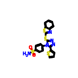 NS(=O)(=O)c1ccc(-n2c(Sc3nc4ccccc4s3)nnc2-c2cccs2)cc1